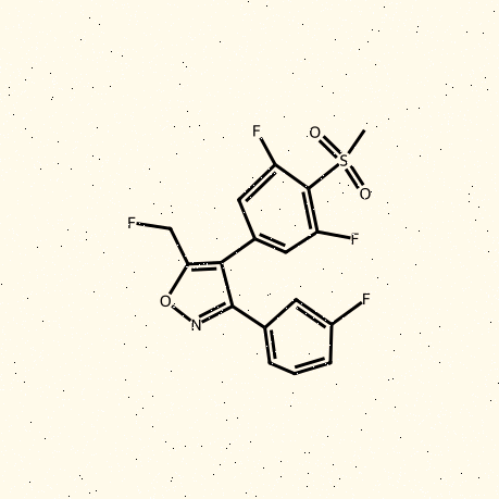 CS(=O)(=O)c1c(F)cc(-c2c(-c3cccc(F)c3)noc2CF)cc1F